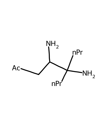 CCCC(N)(CCC)C(N)CC(C)=O